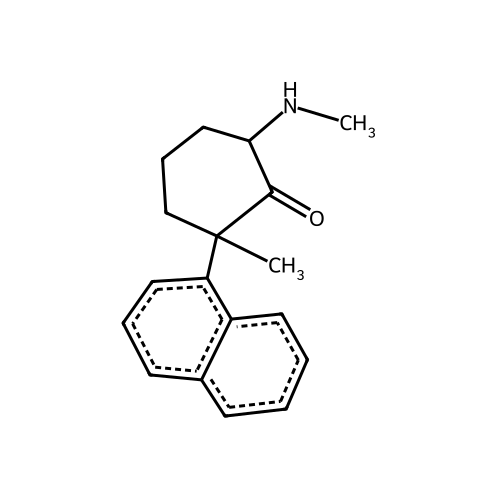 CNC1CCCC(C)(c2cccc3ccccc23)C1=O